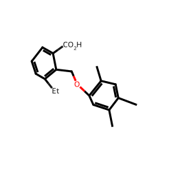 CCc1cccc(C(=O)O)c1COc1cc(C)c(C)cc1C